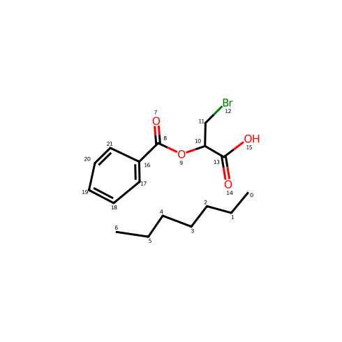 CCCCCCC.O=C(OC(CBr)C(=O)O)c1ccccc1